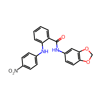 O=C(Nc1ccc2c(c1)OCO2)c1ccccc1Nc1ccc([N+](=O)[O-])cc1